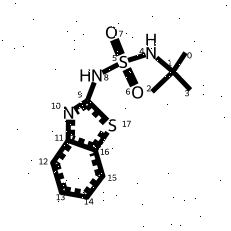 CC(C)(C)NS(=O)(=O)Nc1nc2ccccc2s1